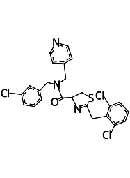 O=C(C1CSC(Cc2c(Cl)cccc2Cl)=N1)N(Cc1ccncc1)Cc1cccc(Cl)c1